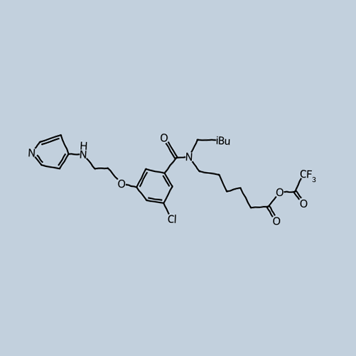 CCC(C)CN(CCCCCC(=O)OC(=O)C(F)(F)F)C(=O)c1cc(Cl)cc(OCCNc2ccncc2)c1